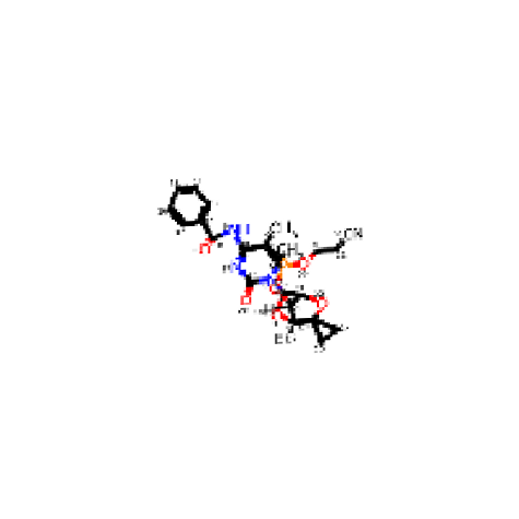 CC[C@]12O[C@@H](n3cc(C)c(NC(=O)c4ccccc4)nc3=O)C(OC13CC3)[C@H]2OP(C)OCCC#N